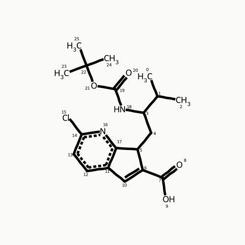 CC(C)C(CC1C(C(=O)O)=Cc2ccc(Cl)nc21)NC(=O)OC(C)(C)C